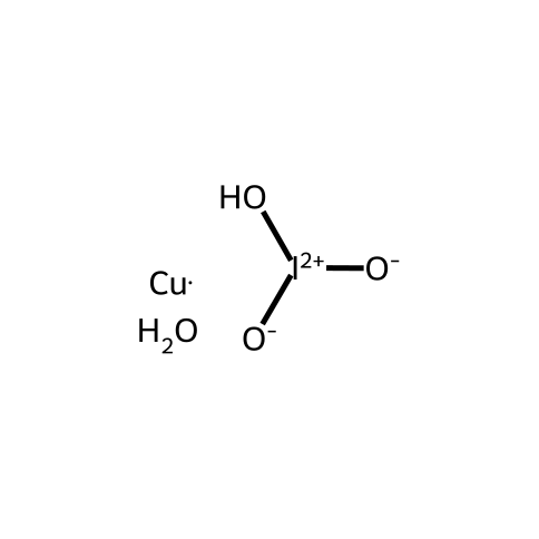 O.[Cu].[O-][I+2]([O-])O